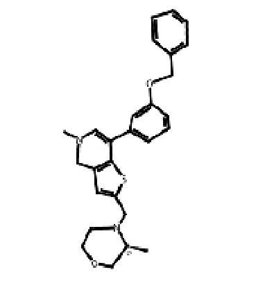 C[C@H]1COCCN1Cc1cc2c(s1)C(c1cccc(OCc3ccccc3)c1)=CN(C)C2